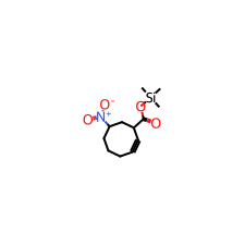 C[Si](C)(C)OC(=O)C1C#CCCCC([N+](=O)[O-])C1